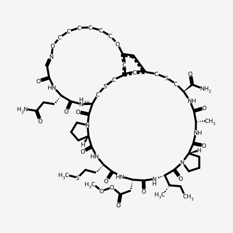 CC[C@H](C)[C@@H]1NC(=O)[C@H](CC(=O)OOC)NC(=O)[C@H](CCSC)NC(=O)[C@@H]2CCCN2C(=O)[C@@H]2CSCc3cc(cc(c3)OCCCCCCO/N=C/C(=O)N[C@@H](CCC(N)=O)C(=O)N2)CSC[C@@H](C(N)=O)NC(=O)[C@H](C)NC(=O)[C@@H]2CCCN2C1=O